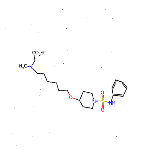 CCOC(=O)CN(C)CCCCCCOC1CCN(S(=O)(=O)Nc2ccccc2)CC1